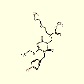 CCSc1nc(=O)n(C[C@H](CCOCOC)C(=O)OC)c(=O)n1Cc1ccc(Cl)cc1